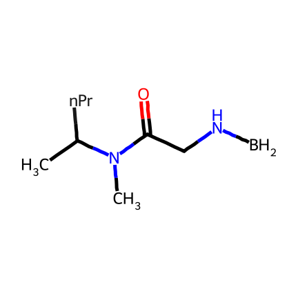 BNCC(=O)N(C)C(C)CCC